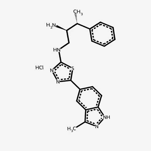 Cc1n[nH]c2ccc(-c3nnc(NC[C@@H](N)[C@H](C)c4ccccc4)s3)cc12.Cl